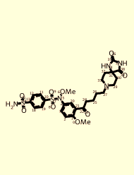 COc1ccc(N(OC)S(=O)(=O)c2ccc(S(N)(=O)=O)cc2)cc1C(=O)CCCCN1CCC2(CC1)NC(=O)NC2=O